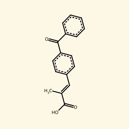 C/C(=C\c1ccc(C(=O)c2ccccc2)cc1)C(=O)O